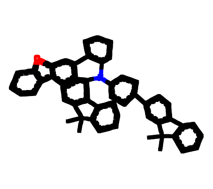 CC1(C)c2ccccc2-c2ccc(-c3ccc(N(c4ccccc4-c4ccc5c(c4)oc4ccccc45)c4cccc5c4-c4ccccc4C5(C)C)cc3)cc21